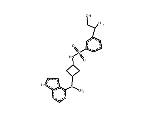 CC(CO)c1cccc(S(=O)(=O)NC2CC(N(C)c3ncnc4[nH]ccc34)C2)c1